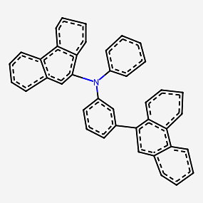 c1ccc(N(c2cccc(-c3cc4ccccc4c4ccccc34)c2)c2cc3ccccc3c3ccccc23)cc1